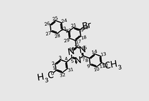 Cc1ccc(-c2nc(-c3ccc(C)cc3)nc(-c3cc(Br)cc(-c4ccccc4)c3)n2)cc1